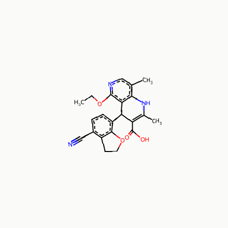 CCOc1ncc(C)c2c1C(c1ccc(C#N)c3c1OCC3)C(C(=O)O)=C(C)N2